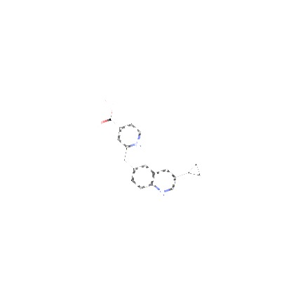 COC(=O)c1ccnc(Cc2ccc3ncc(C4CC4)cc3c2)c1